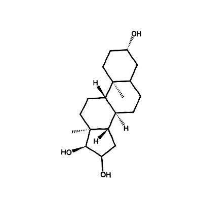 C[C@]12CC[C@H]3[C@@H](CCC4C[C@@H](O)CC[C@@]43C)[C@@H]1CC(O)[C@H]2O